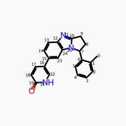 Cc1ccccc1C1CCc2nc3ccc(-c4ccc(=O)[nH]c4)cc3n21